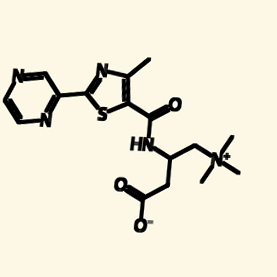 Cc1nc(-c2cnccn2)sc1C(=O)NC(CC(=O)[O-])C[N+](C)(C)C